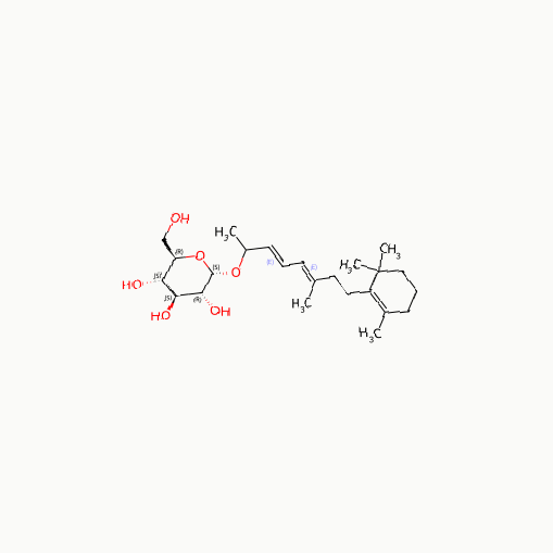 CC1=C(CC/C(C)=C/C=C/C(C)O[C@H]2O[C@H](CO)[C@@H](O)[C@H](O)[C@H]2O)C(C)(C)CCC1